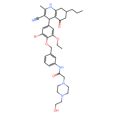 CCCC1CC(=O)C2=C(C1)NC(C)=C(C#N)C2c1cc(Br)c(OCc2cccc(NC(=O)CN3CCN(CCO)CC3)c2)c(OCC)c1